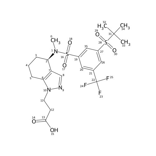 CN([C@@H]1CCCc2c1cnn2CCC(=O)O)S(=O)(=O)c1cc(C(F)(F)F)cc(S(=O)(=O)C(C)(C)C)c1